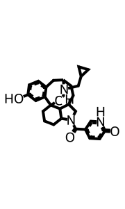 O=C(c1ccc(=O)[nH]c1)N1C[C@H]2CCC3Cc4ccc(O)cc4C4(CCCC1C24)CCN3CC1CC1